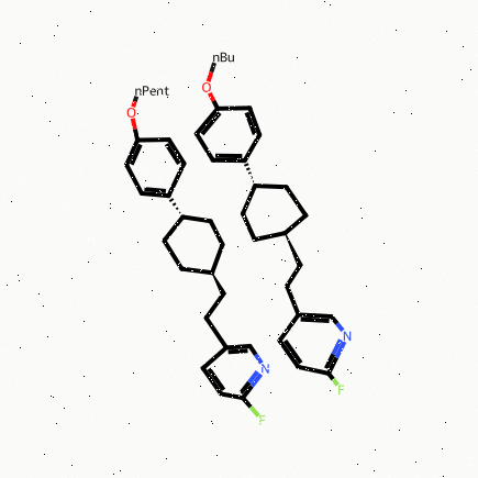 CCCCCOc1ccc([C@H]2CC[C@H](CCc3ccc(F)nc3)CC2)cc1.CCCCOc1ccc([C@H]2CC[C@H](CCc3ccc(F)nc3)CC2)cc1